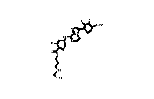 CCC1=CC(Nc2nccn3c(-c4ccc(OC)c(F)c4F)cnc23)CC=C1C(=O)NCCCNCC(=O)O